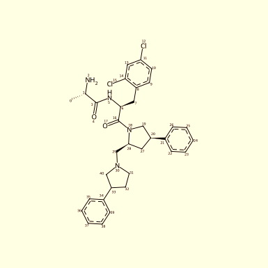 C[C@H](N)C(=O)N[C@@H](Cc1ccc(Cl)cc1Cl)C(=O)N1C[C@@H](c2ccccc2)C[C@H]1CN1CCC(c2ccccc2)C1